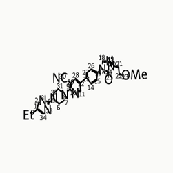 CCc1cnc(N2CCN(c3ncc(-c4ccc(-n5cnn(CCOC)c5=O)cc4)cc3C#N)CC2)nc1